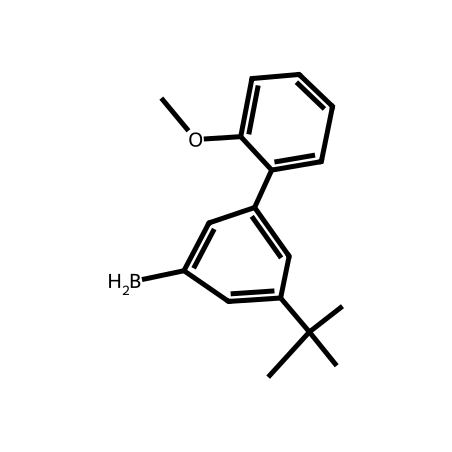 Bc1cc(-c2ccccc2OC)cc(C(C)(C)C)c1